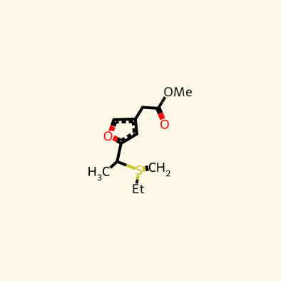 C=S(CC)C(C)c1cc(CC(=O)OC)co1